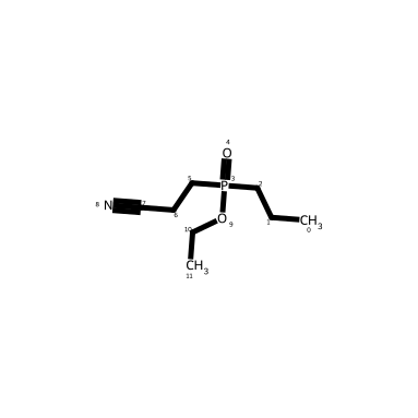 CCCP(=O)(CCC#N)OCC